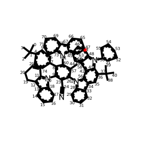 CC(C)(C)c1ccc(-c2c(-n3c4c(c5ccccc53)CCC=C4)c(C#N)c(-n3c4ccccc4c4cc(C(C)(C)C)c5c(c6ccccc6n5-c5ccccc5)c43)c(C#N)c2-n2c3ccccc3c3ccccc32)cc1